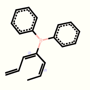 C=C/C=C(\C=C/C)B(c1ccccc1)c1ccccc1